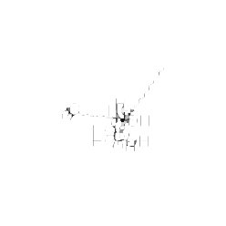 CCCCCCCCCCCCCC[C@@H](O)[C@@H](O)[C@H](COC1OC(CO)C(O)C(O)C1O)NC(=O)CCCCCCCCCCS(=O)(=O)C(C)C